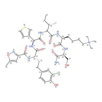 CC[C@H](C)C(NC(=O)[C@@H](NC(=O)[C@H](CCc1ccc(O)c(Cl)c1)NC(=O)c1cc(C)on1)c1ccsc1)C(=O)N[C@@H](CCCC[N+](C)(C)C)C(=O)N[C@@H](CO)C(N)=O